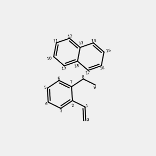 C=Cc1ccccc1CC.c1ccc2ccccc2c1